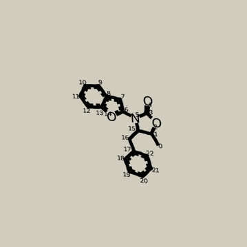 CC1OC(=O)N(c2cc3ccccc3o2)C1Cc1ccccc1